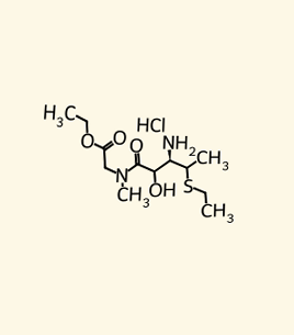 CCOC(=O)CN(C)C(=O)C(O)[C@@H](N)C(C)SCC.Cl